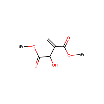 C=C(C(=O)OC(C)C)C(O)C(=O)OC(C)C